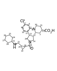 O=C(O)C1CCN(c2cc(Cl)ccc2C2CCN(C(=O)C3CC3CNC3CCCCC3)C2)CC1